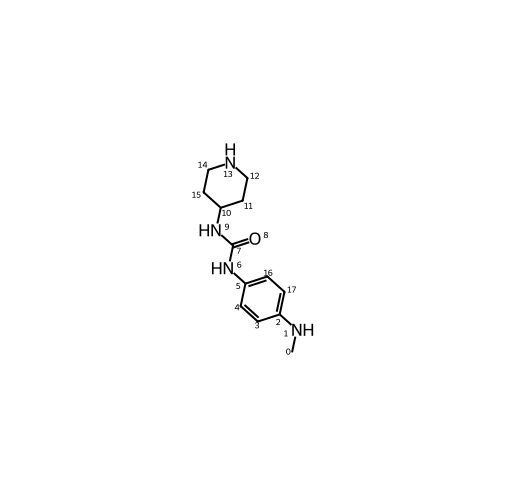 CNc1ccc(NC(=O)NC2CCNCC2)cc1